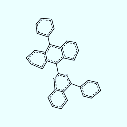 c1ccc(-c2nc(-c3c4ccccc4c(-c4ccccc4)c4ccccc34)nc3ccccc23)cc1